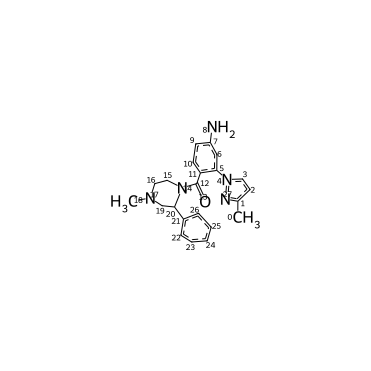 Cc1ccn(-c2cc(N)ccc2C(=O)N2CCN(C)CC2c2ccccc2)n1